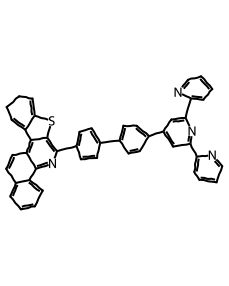 C1=c2sc3c(-c4ccc(-c5ccc(-c6cc(-c7ccccn7)nc(-c7ccccn7)c6)cc5)cc4)nc4c5ccccc5ccc4c3c2=CCC1